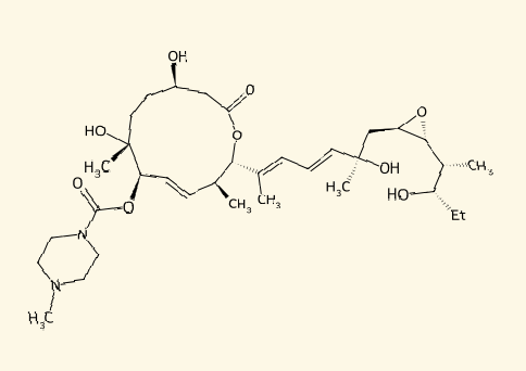 CC[C@H](O)[C@@H](C)[C@H]1O[C@@H]1C[C@@](C)(O)/C=C/C=C(\C)[C@H]1OC(=O)C[C@H](O)CC[C@@](C)(O)[C@H](OC(=O)N2CCN(C)CC2)/C=C/[C@@H]1C